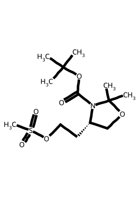 CC(C)(C)OC(=O)N1[C@@H](CCOS(C)(=O)=O)COC1(C)C